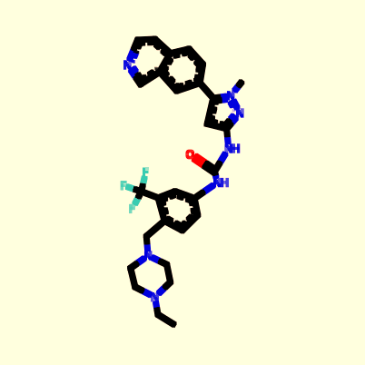 CCN1CCN(Cc2ccc(NC(=O)Nc3cc(-c4ccc5ccncc5c4)n(C)n3)cc2C(F)(F)F)CC1